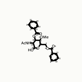 COC1C(COC(=O)c2ccccc2)OC(O)C(NC(C)=O)C1OC(=O)c1ccccc1